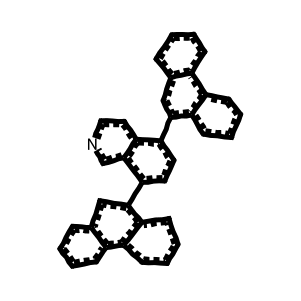 c1ccc2c(c1)cc(-c1ccc(-c3cc4ccccc4c4ccccc34)c3cnccc13)c1ccccc12